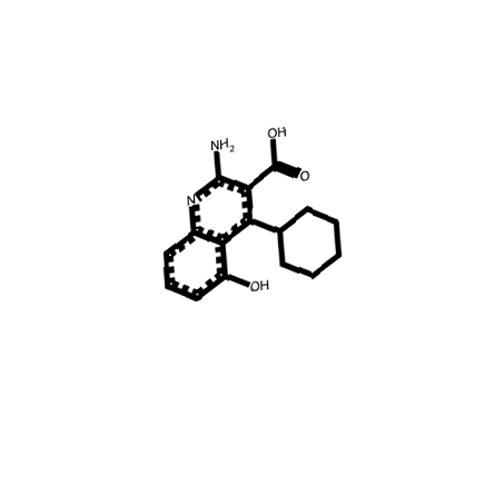 Nc1nc2cccc(O)c2c(C2CCCCC2)c1C(=O)O